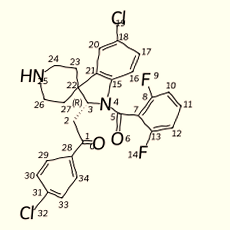 O=C(C[C@H]1N(C(=O)c2c(F)cccc2F)c2ccc(Cl)cc2C12CCNCC2)c1ccc(Cl)cc1